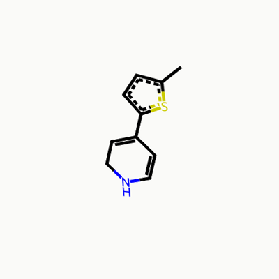 Cc1ccc(C2=CCNC=C2)s1